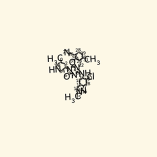 CC1=CC(n2c(=O)nc(Nc3cc4cn(C)nc4cc3Cl)n(Cc3cc(C#N)ccc3C)c2=O)=CNC1